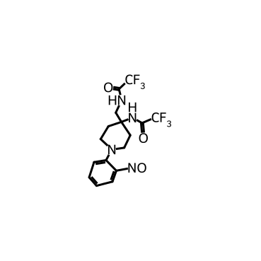 O=Nc1ccccc1N1CCC(CNC(=O)C(F)(F)F)(NC(=O)C(F)(F)F)CC1